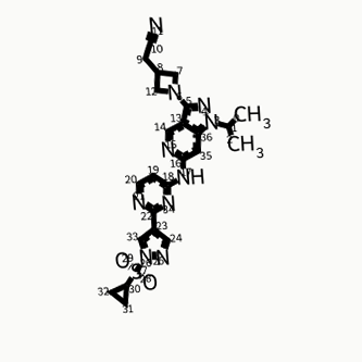 CC(C)n1nc(N2CC(CC#N)C2)c2cnc(Nc3ccnc(-c4cnn(S(=O)(=O)C5CC5)c4)n3)cc21